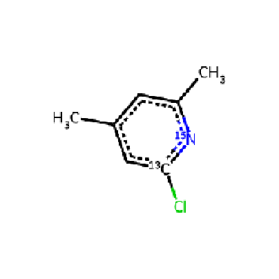 Cc1cc(C)[15n][13c](Cl)c1